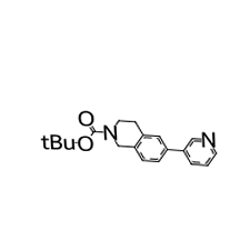 CC(C)(C)OC(=O)N1CCc2cc(-c3cccnc3)ccc2C1